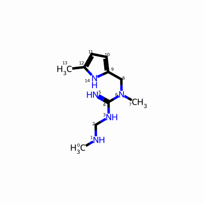 CNCNC(=N)N(C)Cc1ccc(C)[nH]1